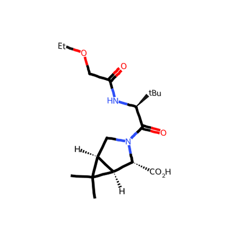 CCOCC(=O)N[C@H](C(=O)N1C[C@H]2[C@@H]([C@H]1C(=O)O)C2(C)C)C(C)(C)C